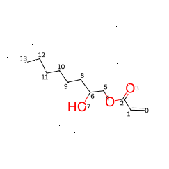 C=CC(=O)OCC(O)CCCCCC